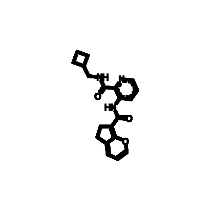 O=C(Nc1cccnc1C(=O)NCC1CCC1)C1=C2OC=CC=C2CC1